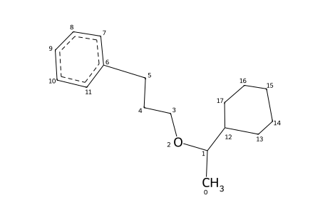 CC(OCCCc1ccccc1)C1CCCCC1